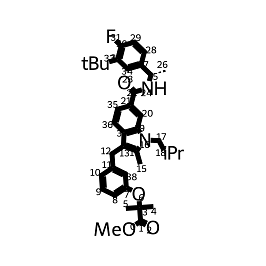 COC(=O)C(C)(C)Oc1cccc(Cc2c(C)n(CC(C)C)c3cc(C(=O)N[C@@H](C)c4ccc(F)c(C(C)(C)C)c4)ccc23)c1